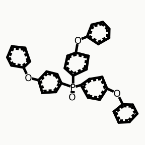 O=P(c1ccc(Oc2ccccc2)cc1)(c1ccc(Oc2ccccc2)cc1)c1ccc(Oc2ccccc2)cc1